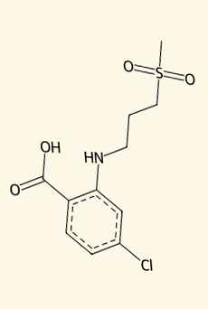 CS(=O)(=O)CCCNc1cc(Cl)ccc1C(=O)O